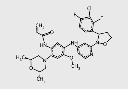 C=CC(=O)Nc1cc(Nc2cc(N3OCCC3c3ccc(F)c(Cl)c3F)ncn2)c(OC)cc1N1C[C@H](C)O[C@@H](C)C1